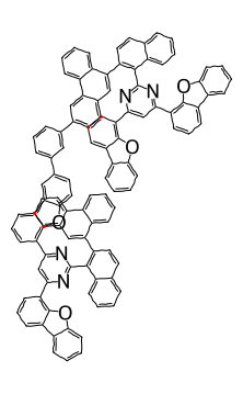 c1cc(-c2ccc3cc(-c4ccc5ccccc5c4-c4nc(-c5cccc6c5oc5ccccc56)cc(-c5cccc6c5oc5ccccc56)n4)c4ccccc4c3c2)cc(-c2ccc3oc4c(-c5cc(-c6cccc7c6oc6ccccc67)nc(-c6c(-c7cc8ccccc8c8ccccc78)ccc7ccccc67)n5)cccc4c3c2)c1